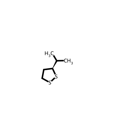 CC(C)[C@@H]1CCSS1